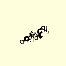 C#C/C=C\C(=C/C)C1(C(=O)Nc2nc(-c3ccc(Cl)cc3Cl)cs2)CC1